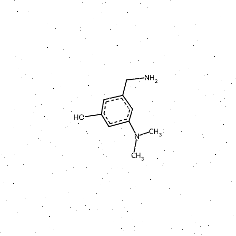 CN(C)c1cc(O)cc(CN)c1